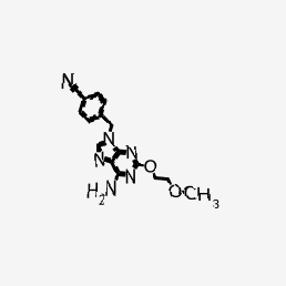 COCCOc1nc(N)c2ncn(Cc3ccc(C#N)cc3)c2n1